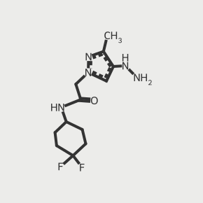 Cc1nn(CC(=O)NC2CCC(F)(F)CC2)cc1NN